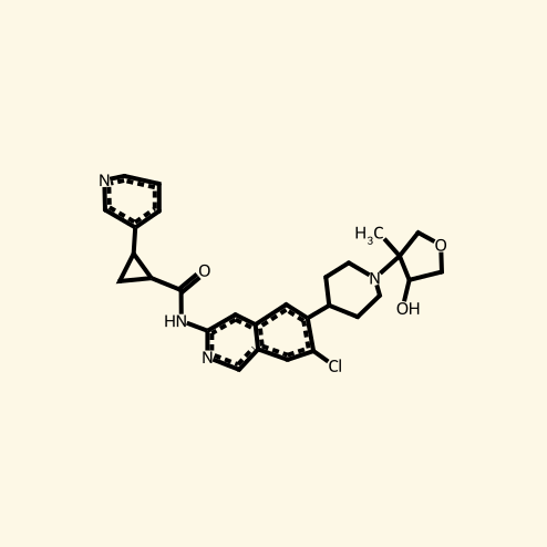 CC1(N2CCC(c3cc4cc(NC(=O)C5CC5c5cccnc5)ncc4cc3Cl)CC2)COCC1O